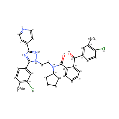 COc1ccc(-c2nc(-c3ccncc3)nn2CCN(C(=O)c2ccccc2C(=O)c2ccc(Cl)c([N+](=O)[O-])c2)C2CCCC2)cc1Cl